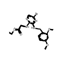 CCOC(=O)CNc1ncc(Br)nc1NCc1ccc(OC)cc1OC